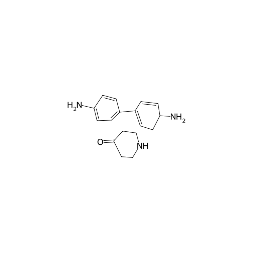 Nc1ccc(C2=CCC(N)C=C2)cc1.O=C1CCNCC1